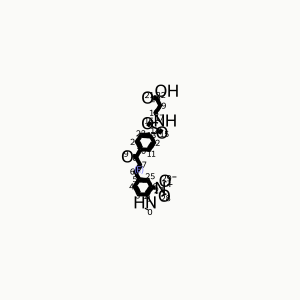 CNc1ccc(/C=C/C(=O)c2ccc(S(=O)(=O)NCCC(=O)O)cc2)cc1[N+](=O)[O-]